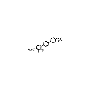 COc1ccc(-c2ccc(C3CCC(CC(C)(F)F)CC3)cc2)c(F)c1F